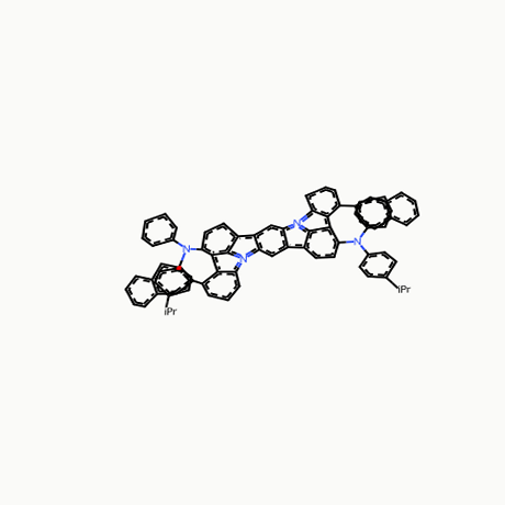 CC(C)c1ccc(N(c2ccccc2)c2ccc3c4cc5c(cc4n4c6cccc(-c7ccc8ccccc8c7)c6c2c34)c2ccc(N(c3ccccc3)c3ccc(C(C)C)cc3)c3c4c(-c6ccc7ccccc7c6)cccc4n5c23)cc1